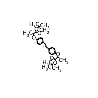 CC(Oc1ccc(/C=C/c2ccc(OC(C)C(=O)OC(C)(C)C)cc2)cc1)C(=O)OC(C)(C)C